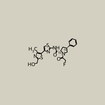 Cc1nc(CO)sc1-c1csc(NC(=O)[C@@H]2C[C@@H](c3ccccc3)CN2C(=O)CF)n1